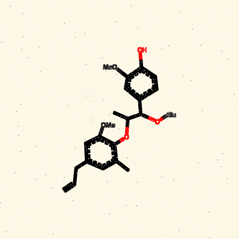 C=CCc1cc(C)c(OC(C)C(OC(C)(C)C)c2ccc(O)c(OC)c2)c(OC)c1